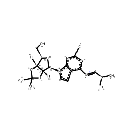 CN(C)/C=N/c1nc(Cl)nc2c1ccn2[C@@H]1O[C@H](CO)[C@H]2OC(C)(C)O[C@H]21